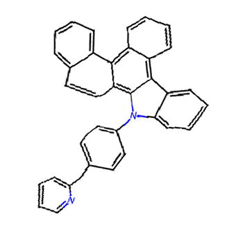 c1ccc(-c2ccc(-n3c4ccccc4c4c5ccccc5c5c6ccccc6ccc5c43)cc2)nc1